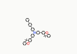 CC1(C)c2ccccc2Oc2ccc(-c3ccc(N(c4ccc(-c5ccc(-c6ccccc6)cc5)cc4)c4ccc(-c5ccc6c(c5)C(C)(C)c5ccccc5O6)cc4)cc3)cc21